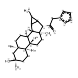 CC1C2C1[C@H]1[C@@H]3CC[C@@H]4C[C@](C)(O)CC[C@@H]4[C@H]3CC[C@]1(C)[C@H]2C(=O)Cn1ccnn1